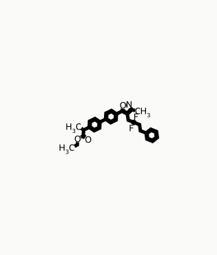 CCOC(=O)C(C)c1ccc(-c2ccc(-c3onc(C)c3CC(F)(F)CCc3ccccc3)cc2)cc1